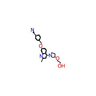 Cc1cc(N2CCC(OCCO)C2)c2ccc(OCc3ccc(C#N)cc3)cc2n1